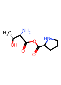 C[C@@H](O)[C@H](N)C(=O)OC(=O)[C@@H]1CCCN1